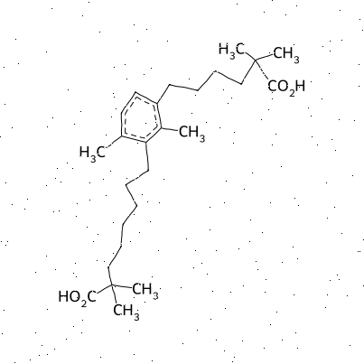 Cc1ccc(CCCCC(C)(C)C(=O)O)c(C)c1CCCCCCC(C)(C)C(=O)O